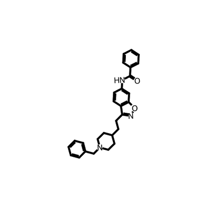 O=C(Nc1ccc2c(CCC3CCN(Cc4ccccc4)CC3)noc2c1)c1ccccc1